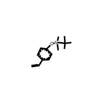 C=Cc1ccc(O[Si](C)(C)C(C)(C)C)cc1